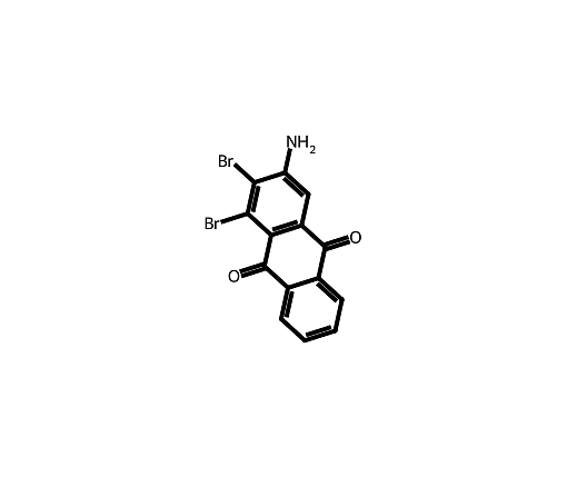 Nc1cc2c(c(Br)c1Br)C(=O)c1ccccc1C2=O